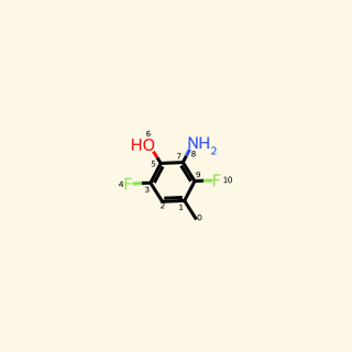 Cc1cc(F)c(O)c(N)c1F